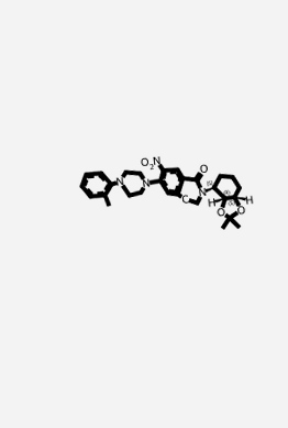 Cc1ccccc1N1CCN(c2cc3c(cc2[N+](=O)[O-])C(=O)N([C@H]2CCC[C@@H]4OC(C)(C)O[C@@H]42)CC3)CC1